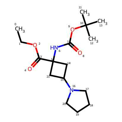 CCOC(=O)C1(NC(=O)OC(C)(C)C)CC(N2CCCC2)C1